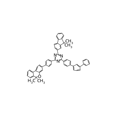 CC1(C)Oc2cc(-c3ccc(-c4nc(-c5ccc(-c6cccc(-c7ccccc7)c6)cc5)nc(-c5ccc6c(c5)C(C)(C)c5ccccc5-6)n4)cc3)ccc2-c2ccccc21